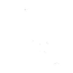 CCCCC(CC)COC(=O)CCSc1ccc2ncn(CC(C)OC)c(=O)c2c1Cl